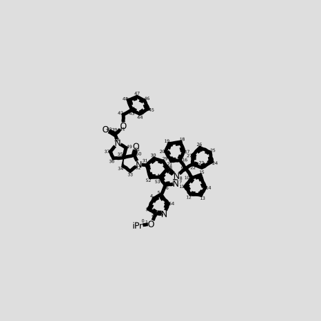 CC(C)Oc1ccc(-c2nn(C(c3ccccc3)(c3ccccc3)c3ccccc3)c3ccc(N4CC[C@]5(CCN(C(=O)OCc6ccccc6)C5)C4=O)cc23)cn1